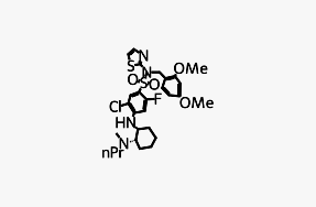 CCCN(C)[C@H]1CCCC[C@@H]1Nc1cc(F)c(S(=O)(=O)N(Cc2ccc(OC)cc2OC)c2nccs2)cc1Cl